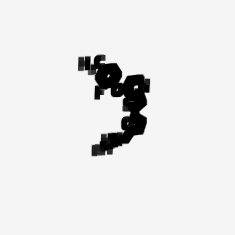 CCCNCc1ccc(-c2cc3nccc(Oc4ccc(C)cc4F)c3s2)o1